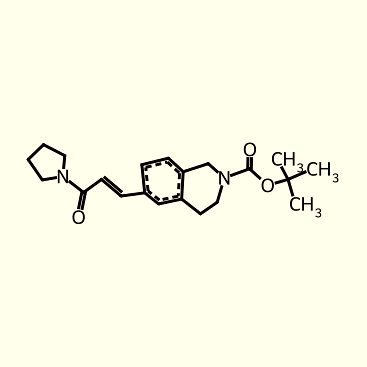 CC(C)(C)OC(=O)N1CCc2cc(C=CC(=O)N3CCCC3)ccc2C1